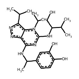 CC(C)c1nnc2c(NC(C)c3ccc(O)c(O)c3)nc(NC(CO)C(C)C)n(C(C)C)c1-2